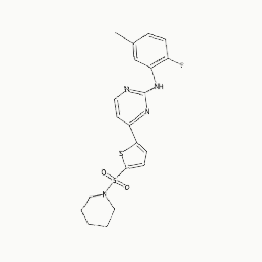 Cc1ccc(F)c(Nc2nccc(-c3ccc(S(=O)(=O)N4CCCCC4)s3)n2)c1